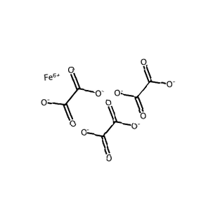 O=C([O-])C(=O)[O-].O=C([O-])C(=O)[O-].O=C([O-])C(=O)[O-].[Fe+6]